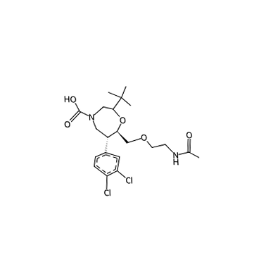 CC(=O)NCCOC[C@@H]1OC(C(C)(C)C)CN(C(=O)O)C[C@H]1c1ccc(Cl)c(Cl)c1